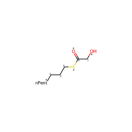 CCCCCCCCSC(=O)CO